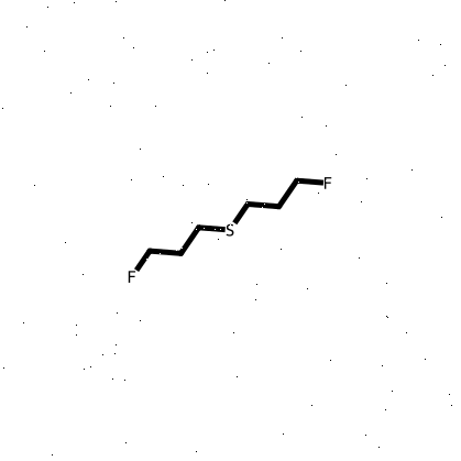 FCCCSCCCF